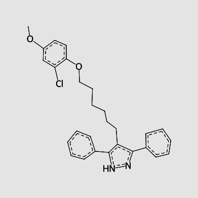 COc1ccc(OCCCCCCc2c(-c3ccccc3)n[nH]c2-c2ccccc2)c(Cl)c1